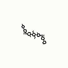 CCc1cc(-c2ccc(Nc3ccc(-c4ccc(C)cc4)cc3)cc2C)c(CC)cc1-c1ccc(Nc2ccc(-c3ccccc3)cc2)cc1C